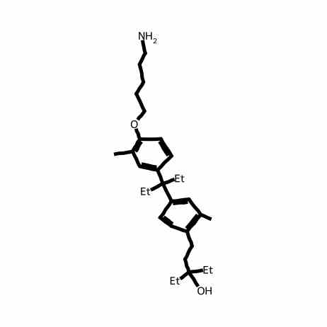 CCC(O)(CC)CCc1ccc(C(CC)(CC)c2ccc(OCCCCCN)c(C)c2)cc1C